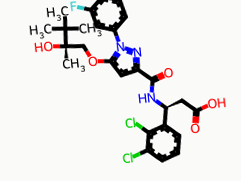 CC(C)(C)[C@@](C)(O)COc1cc(C(=O)N[C@@H](CC(=O)O)c2cccc(Cl)c2Cl)nn1-c1cccc(F)c1